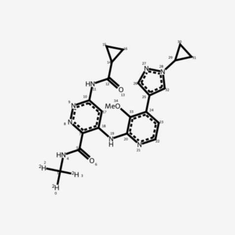 [2H]C([2H])([2H])NC(=O)c1nnc(NC(=O)C2CC2)cc1Nc1nccc(-c2cnn(C3CC3)c2)c1OC